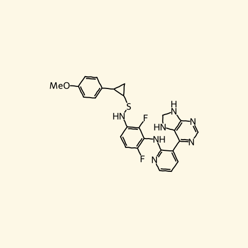 COc1ccc(C2CC2SNc2ccc(F)c(Nc3ncccc3-c3ncnc4c3NCN4)c2F)cc1